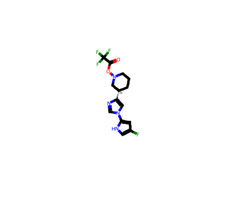 O=C(ON1CCC[C@H](c2cn(-c3cc(F)c[nH]3)cn2)C1)C(F)(F)F